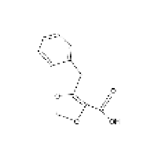 O=C(O)C1=C(Cc2ccccc2)OCO1